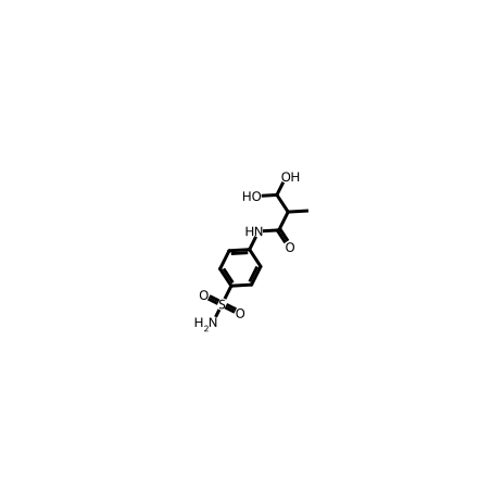 CC(C(=O)Nc1ccc(S(N)(=O)=O)cc1)C(O)O